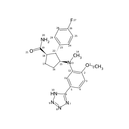 COc1ccc(-c2nnn[nH]2)cc1N(C)[C@H]1CC[C@@H](C(N)=O)[C@@H]1c1ccc(F)cc1